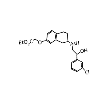 CCOC(=O)COc1ccc2c(c1)CC([AsH]CC(O)c1cccc(Cl)c1)CC2